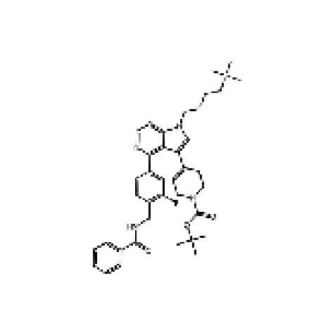 CC(C)(C)OC(=O)N1CC=C(c2cn(COCC[Si](C)(C)C)c3ncnc(-c4ccc(CNC(=O)c5ccccc5)c(F)c4)c23)CC1